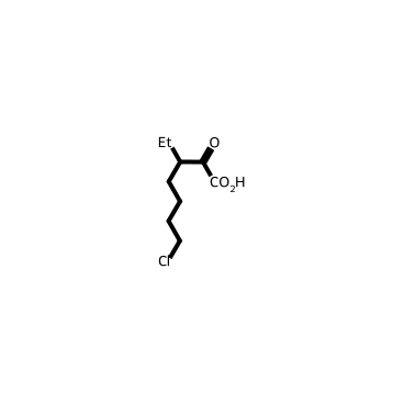 CCC(CCCCCl)C(=O)C(=O)O